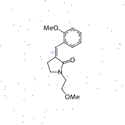 COCCN1CC/C(=C/c2ccccc2OC)C1=O